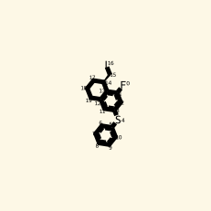 Fc1cc(Sc2ccccc2)cc2c1[C@H](CI)CCC2